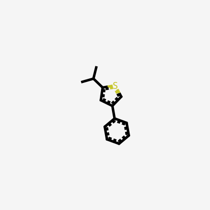 CC(C)c1cc(-c2ccccc2)cs1